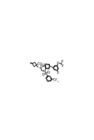 C=C1CC(C[C@H]2CN(S(=O)(=O)c3cccc(C(F)(F)F)c3)c3cc(-c4cc(F)cc(OC(F)F)c4)ccc3O2)(C(=O)O)C1